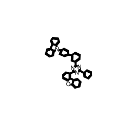 c1ccc(-c2nc(-c3cccc(-c4ccc(-n5c6ccccc6c6ccccc65)cc4)c3)nc(-c3cccc4oc5ccccc5c34)n2)cc1